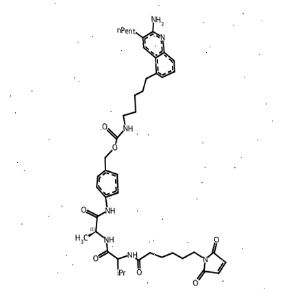 CCCCCc1cc2c(CCCCCNC(=O)OCc3ccc(NC(=O)[C@H](C)NC(=O)C(NC(=O)CCCCCN4C(=O)C=CC4=O)C(C)C)cc3)cccc2nc1N